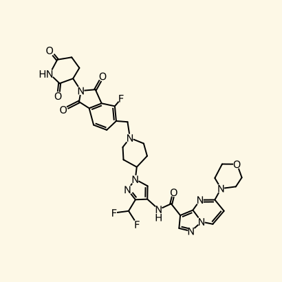 O=C1CCC(N2C(=O)c3ccc(CN4CCC(n5cc(NC(=O)c6cnn7ccc(N8CCOCC8)nc67)c(C(F)F)n5)CC4)c(F)c3C2=O)C(=O)N1